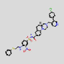 O=C(NS(=O)(=O)c1ccc(NCCSc2ccccc2)c([N+](=O)[O-])c1)c1ccc2c(c1)CC[C@@H]1CN(Cc3ccncc3-c3ccc(Cl)cc3)CCN21